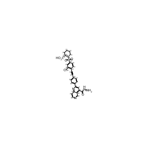 NNC(=O)c1cc(-c2ccc(C#Cc3ccc(S(=O)(=O)N4CCCC[C@H]4C(=O)O)cc3Cl)cc2)nc2ccncc12